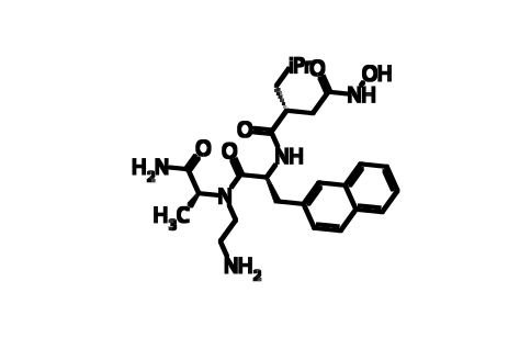 CC(C)C[C@H](CC(=O)NO)C(=O)N[C@@H](Cc1ccc2ccccc2c1)C(=O)N(CCN)[C@@H](C)C(N)=O